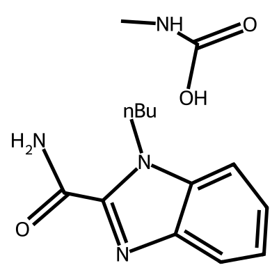 CCCCn1c(C(N)=O)nc2ccccc21.CNC(=O)O